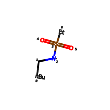 CCCCC[N]S(=O)(=O)CC